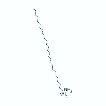 CCCCCCCCCCCCCCCCCCCCCCCCCCC=C(N)N